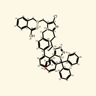 CCCCc1nc(Cl)c(COCc2ccccc2C(=O)O)n1Cc1ccc(-c2ccccc2-c2nnnn2C(c2ccccc2)(c2ccccc2)c2ccccc2)cc1